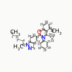 CCCCCC(C)n1ncc2cc(C(=O)N(c3ccccc3)C(c3ccccc3C)C3CC3)ccc21